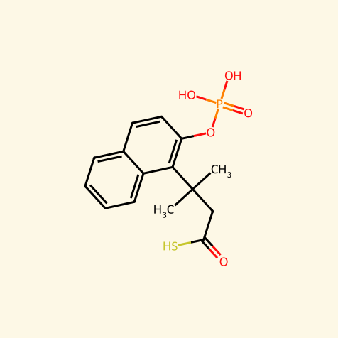 CC(C)(CC(=O)S)c1c(OP(=O)(O)O)ccc2ccccc12